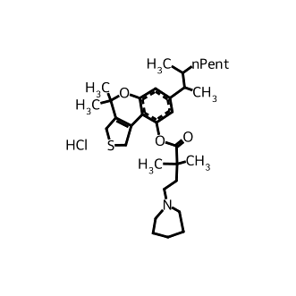 CCCCCC(C)C(C)c1cc(OC(=O)C(C)(C)CCN2CCCCC2)c2c(c1)OC(C)(C)C1=C2CSC1.Cl